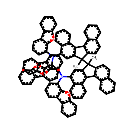 CC1(C2(C)c3ccc4ccccc4c3-c3c2cc(N(c2cccc4c2oc2ccccc24)c2cccc4c2oc2ccccc24)c2ccccc32)c2ccc3ccccc3c2-c2c1cc(N(c1cccc3c1oc1ccccc13)c1cccc3c1oc1ccccc13)c1ccccc21